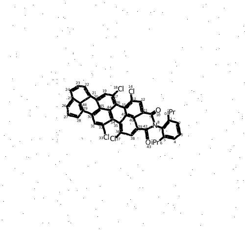 CC(C)c1cccc(C(C)C)c1N1C(=O)c2cc(Cl)c3c4c(Cl)cc5c6cccc7cccc(c8cc(Cl)c(c9c(Cl)cc(c2c39)C1=O)c4c58)c76